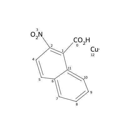 O=C(O)c1c([N+](=O)[O-])ccc2ccccc12.[Cu]